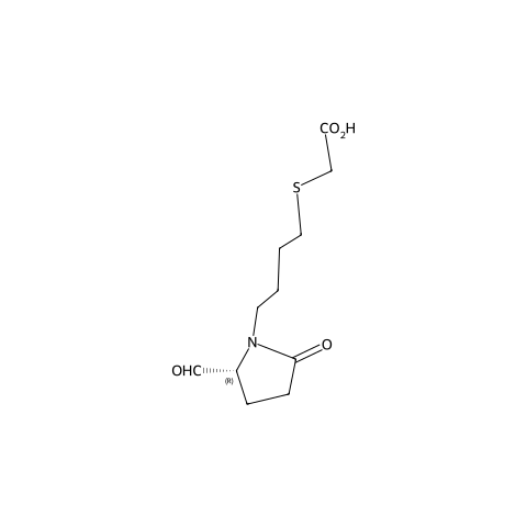 O=C[C@H]1CCC(=O)N1CCCCSCC(=O)O